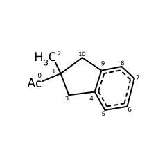 CC(=O)C1(C)Cc2ccccc2C1